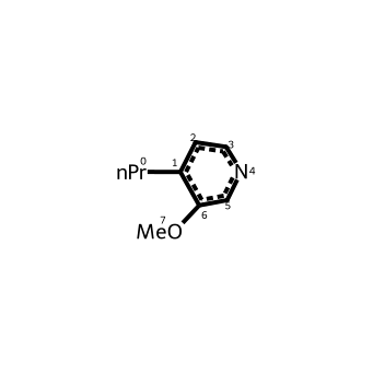 CCCc1ccncc1OC